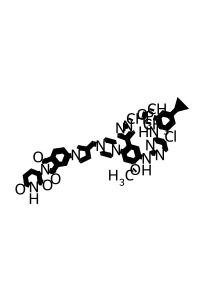 COc1cc(N2CCN(CC3CCN(c4ccc5c(c4)C(=O)N(C4CCC(=O)NC4=O)C5=O)C3)CC2)c(-c2cnn(C)c2)cc1Nc1ncc(Cl)c(Nc2ccc(C3CC3)cc2P(C)(C)=O)n1